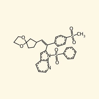 CS(=O)(=O)c1ccc(C(=CC2CCC3(C2)OCCO3)c2cc3cccnc3n2S(=O)(=O)c2ccccc2)cc1